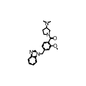 COc1cc(Cn2cnc3ccccc32)ccc1C(=O)N1CCC(N(C)C)C1